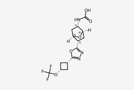 O=C(O)N[C@H]1C[C@H]2O[C@@H]1C[C@@H]2c1nnc([C@H]2C[C@@H](OC(F)(F)F)C2)o1